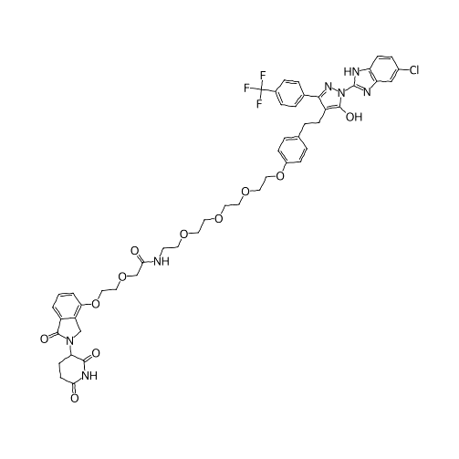 O=C(COCCOc1cccc2c1CN(C1CCC(=O)NC1=O)C2=O)NCCOCCOCCOCCOc1ccc(CCc2c(-c3ccc(C(F)(F)F)cc3)nn(-c3nc4cc(Cl)ccc4[nH]3)c2O)cc1